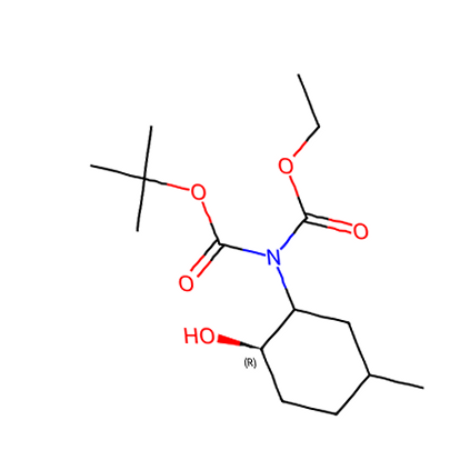 CCOC(=O)N(C(=O)OC(C)(C)C)C1CC(C)CC[C@H]1O